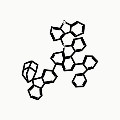 c1ccc(-c2ccccc2-c2ccccc2-c2ccccc2N(c2ccc(-c3ccc4c(c3)C3(c5ccccc5-4)C4CC5CC(C4)CC3C5)cc2)c2cccc3oc4ccccc4c23)cc1